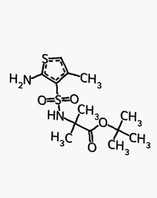 Cc1csc(N)c1S(=O)(=O)NC(C)(C)C(=O)OC(C)(C)C